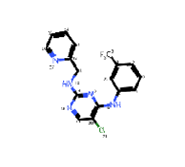 FC(F)(F)c1cccc(Nc2nc(NCc3ccccn3)ncc2Cl)c1